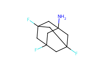 NC12CC3(F)CC(F)(C1)CC(F)(C2)C3